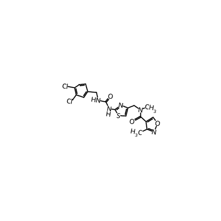 Cc1nocc1C(=O)N(C)Cc1csc(NC(=O)NCc2ccc(Cl)c(Cl)c2)n1